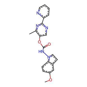 COc1ccc2c(ccn2NC(=O)Oc2cnc(-c3ccccn3)nc2C)c1